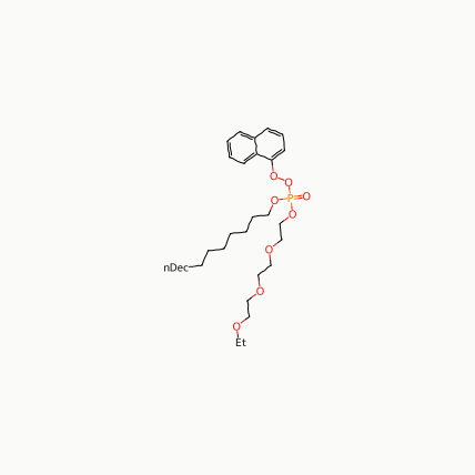 CCCCCCCCCCCCCCCCCOP(=O)(OCCOCCOCCOCC)OOc1cccc2ccccc12